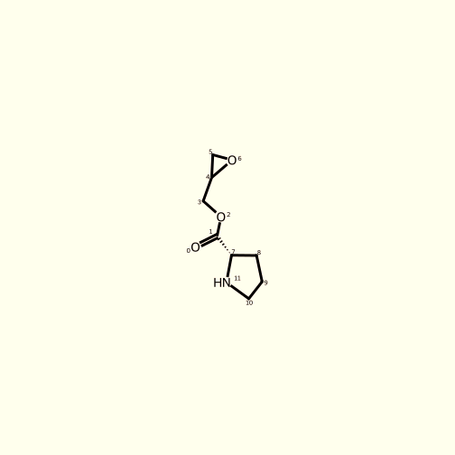 O=C(OCC1CO1)[C@@H]1CCCN1